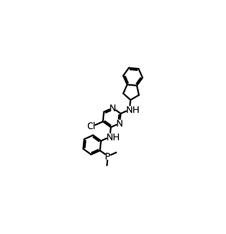 CP(C)c1ccccc1Nc1nc(NC2Cc3ccccc3C2)ncc1Cl